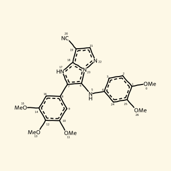 COc1ccc(Nc2c(-c3cc(OC)c(OC)c(OC)c3)[nH]c3c(C#N)cnn23)cc1OC